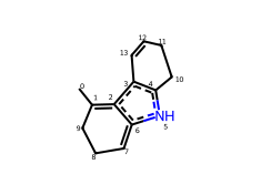 CC1=c2c3c([nH]c2=CCC1)CCC=C3